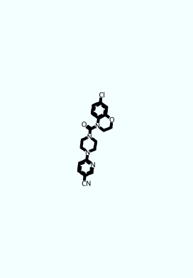 N#Cc1ccc(N2CCN(C(=O)N3CCOc4cc(Cl)ccc43)CC2)nc1